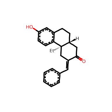 CC[C@@]12CC(=Cc3ccccc3)C(=O)C[C@H]1CCc1cc(O)ccc12